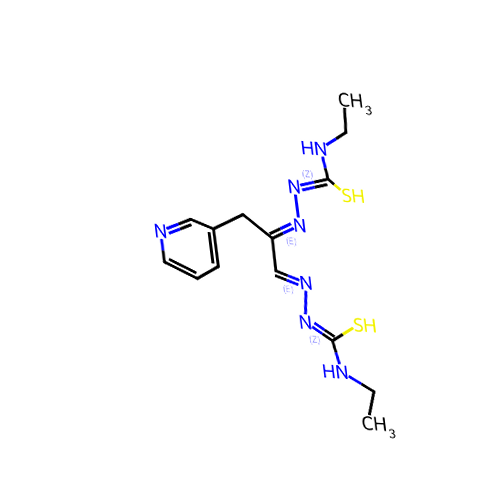 CCN/C(S)=N/N=C/C(Cc1cccnc1)=N/N=C(\S)NCC